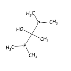 CP(C)C(C)(O)P(C)C